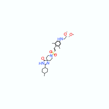 COC[C@H](CNc1cc(C)c(/C=C/S(=O)(=O)N2CCC3(CC2)N=C(C2CCC(C)CC2)NC3=O)c(C)c1)OC